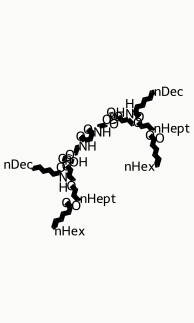 CCCCCC/C=C\CCCC(=O)O[C@H](CCCCCCC)CCOCC(COP(=O)(O)OCCNC(=O)CC(=O)NCCOP(=O)(O)OCC(COCC[C@@H](CCCCCCC)OC(=O)CCC/C=C\CCCCCC)NC(=O)CCCCCCCCCCCCCCC)NC(=O)CCCCCCCCCCCCCCC